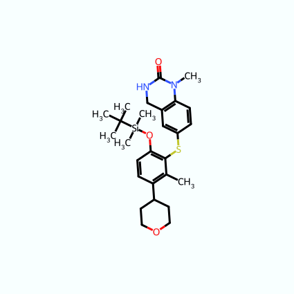 Cc1c(C2CCOCC2)ccc(O[Si](C)(C)C(C)(C)C)c1Sc1ccc2c(c1)CNC(=O)N2C